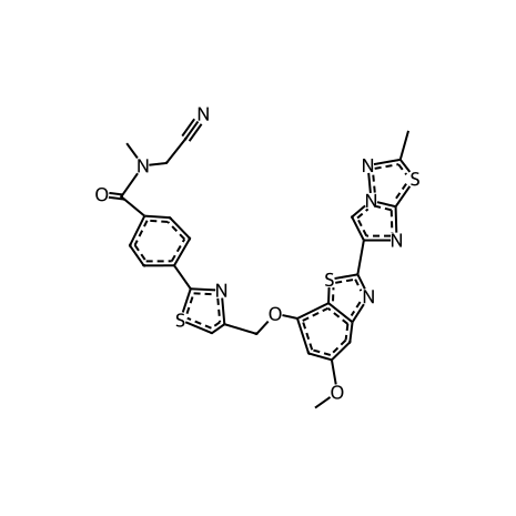 COc1cc(OCc2csc(-c3ccc(C(=O)N(C)CC#N)cc3)n2)c2sc(-c3cn4nc(C)sc4n3)nc2c1